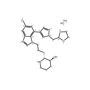 Cl.Cl.O[C@H]1CCCN[C@@H]1CCCn1cnc2cc(Cl)cc(-c3cnn(CC4OCCO4)c3)c21